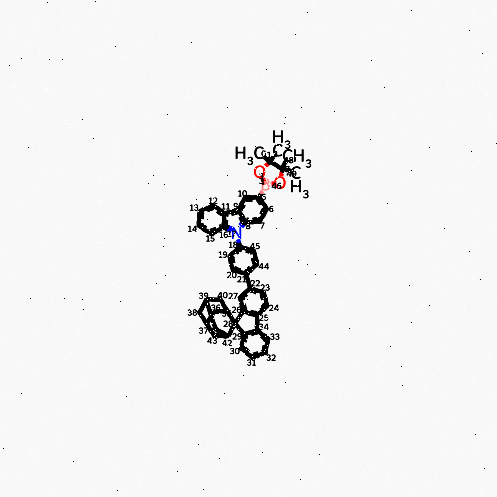 CC1(C)OB(c2ccc3c(c2)c2ccccc2n3-c2ccc(-c3ccc4c(c3)C3(c5ccccc5-4)C4CC5CC(C4)CC3C5)cc2)OC1(C)C